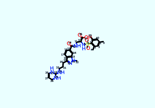 Cc1cc(C)c(S(=O)(=O)NC(CNC(=O)c2ccc3c(CCCNC4NC=CCN4)nn(C)c3c2)C(=O)O)c(C)c1